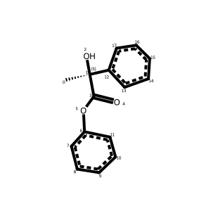 C[C@@](O)(C(=O)Oc1ccccc1)c1ccccc1